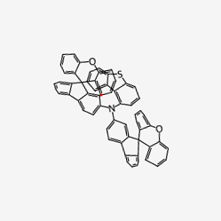 c1ccc2c(c1)Oc1ccccc1C21c2ccccc2-c2ccc(N(c3ccc4c(c3)C3(c5ccccc5Oc5ccccc53)c3ccccc3-4)c3cccc4sc5ccccc5c34)cc21